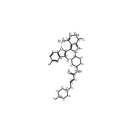 Cc1ccc2oc(-c3c4c(nn3C3CCC(NC(=O)/C=C/CN5CCN(C)CC5)CC3)C(C)NN=C4N)c(C)c2c1